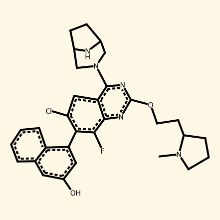 CN1CCCC1CCOc1nc(N2CC3CCC(C2)N3)c2cc(Cl)c(-c3cc(O)cc4ccccc34)c(F)c2n1